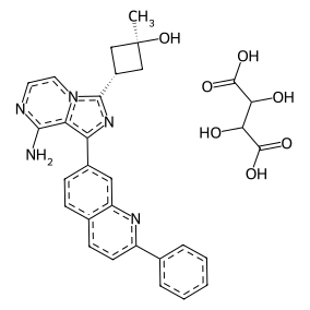 C[C@]1(O)C[C@H](c2nc(-c3ccc4ccc(-c5ccccc5)nc4c3)c3c(N)nccn32)C1.O=C(O)C(O)C(O)C(=O)O